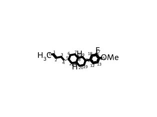 CC=CCC[C@@H]1CC[C@@H]2CC(c3ccc(OC)c(F)c3)CC[C@@H]2C1